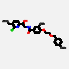 COCc1ccc(C(O)CNC(=O)c2ccc(OCCOCc3ccc(OC)cc3)c(OC)c2)nc1Cl